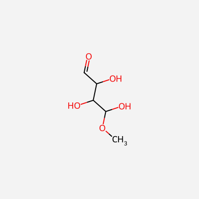 COC(O)C(O)C(O)C=O